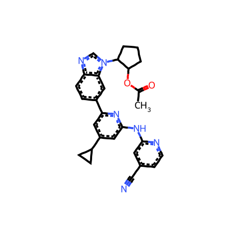 CC(=O)OC1CCCC1n1cnc2ccc(-c3cc(C4CC4)cc(Nc4cc(C#N)ccn4)n3)cc21